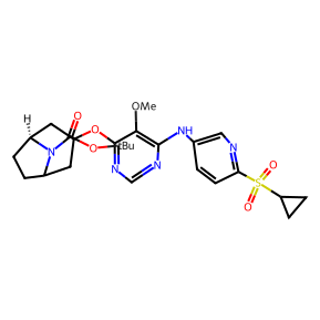 COc1c(Nc2ccc(S(=O)(=O)C3CC3)nc2)ncnc1OC1CC2CC[C@@H](C1)N2C(=O)OC(C)(C)C